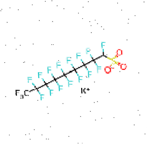 O=S(=O)([O-])C(F)C(F)(F)C(F)(F)C(F)(F)C(F)(F)C(F)(F)C(F)(F)C(F)(F)C(F)(F)F.[K+]